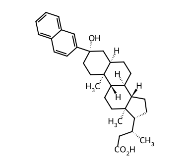 C[C@H](CC(=O)O)[C@H]1CC[C@H]2[C@@H]3CC[C@@H]4C[C@](O)(c5ccc6ccccc6c5)CC[C@]4(C)[C@H]3CC[C@]12C